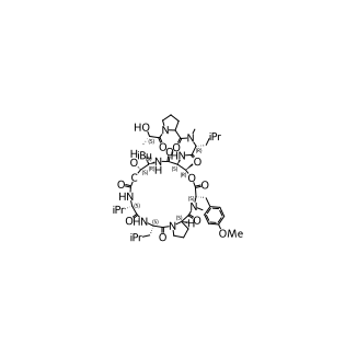 CC[C@H](C)[C@H]1NC(=O)[C@@H](NC(=O)[C@@H](CC(C)C)N(C)C(=O)C2CCCN2C(=O)[C@H](C)O)[C@@H](C)OC(=O)[C@H](Cc2ccc(OC)cc2)N(C)C(=O)[C@@H]2CCCN2C(=O)[C@H](CC(C)C)NC(=O)[C@H](C(C)C)NC(=O)C[C@@H]1O